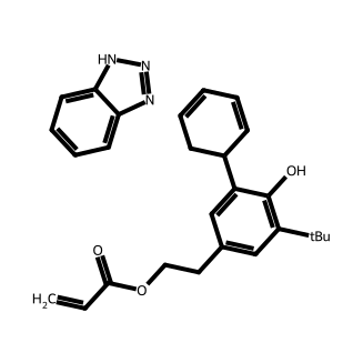 C=CC(=O)OCCc1cc(C2C=CC=CC2)c(O)c(C(C)(C)C)c1.c1ccc2[nH]nnc2c1